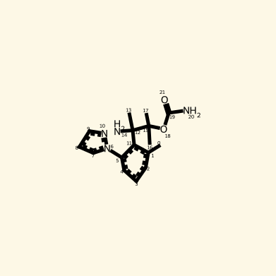 Cc1cccc(-n2cccn2)c1C(C)(N)C(C)(C)OC(N)=O